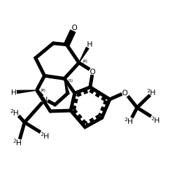 [2H]C([2H])([2H])Oc1ccc2c3c1O[C@H]1C(=O)CCC4[C@@H](C2)N(C([2H])([2H])[2H])CC[C@@]341